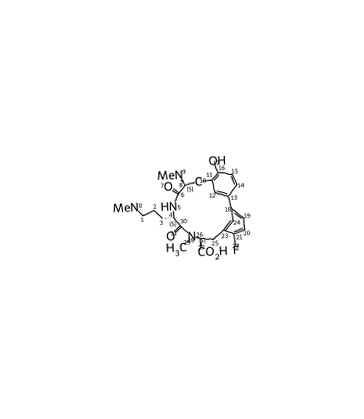 CNCCC[C@@H]1NC(=O)[C@@H](NC)Cc2cc(ccc2O)-c2ccc(F)c(c2)C[C@@H](C(=O)O)N(C)C1=O